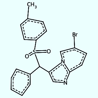 Cc1ccc(S(=O)(=O)C(c2ccccc2)c2cnc3ccc(Br)cn23)cc1